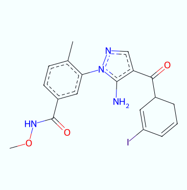 CONC(=O)c1ccc(C)c(-n2ncc(C(=O)C3C=C(I)C=CC3)c2N)c1